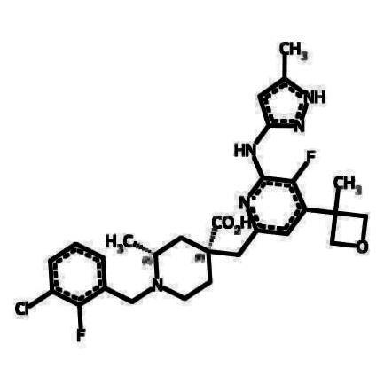 Cc1cc(Nc2nc(C[C@@]3(C(=O)O)CCN(Cc4cccc(Cl)c4F)[C@H](C)C3)cc(C3(C)COC3)c2F)n[nH]1